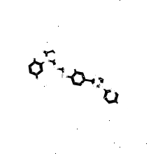 Cc1ccc(C(C)C)c(N2C(=O)CSC2=NC(=O)Nc2ccc(-c3ncn(-c4ccc(C(F)(F)F)cn4)n3)cc2F)c1